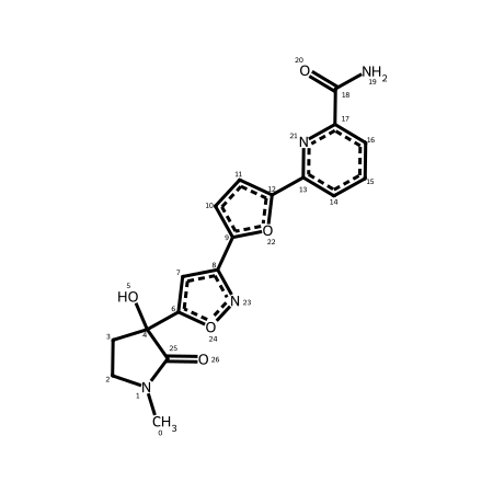 CN1CCC(O)(c2cc(-c3ccc(-c4cccc(C(N)=O)n4)o3)no2)C1=O